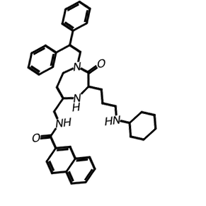 O=C(NCC1CCN(CC(c2ccccc2)c2ccccc2)C(=O)C(CCCNC2CCCCC2)N1)c1ccc2ccccc2c1